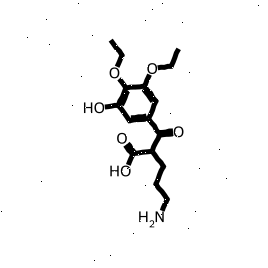 CCOc1cc(C(=O)C(CCCN)C(=O)O)cc(O)c1OCC